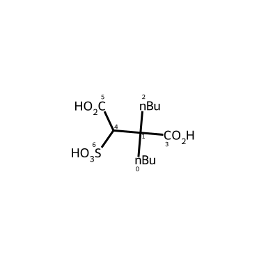 CCCCC(CCCC)(C(=O)O)C(C(=O)O)S(=O)(=O)O